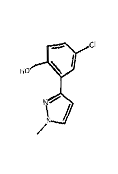 Cn1ccc(-c2cc(Cl)ccc2O)n1